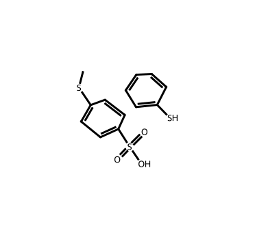 CSc1ccc(S(=O)(=O)O)cc1.Sc1ccccc1